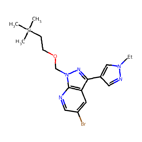 CCn1cc(-c2nn(COCC[Si](C)(C)C)c3ncc(Br)cc23)cn1